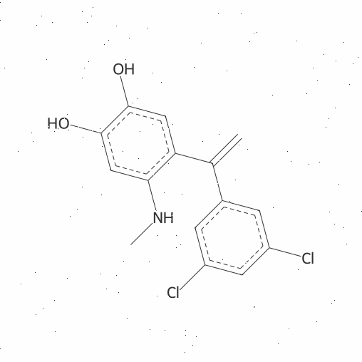 C=C(c1cc(Cl)cc(Cl)c1)c1cc(O)c(O)cc1NC